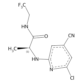 C[C@H](Nc1cc(C#N)cc(Cl)n1)C(=O)NCC(F)(F)F